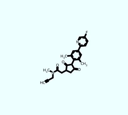 C#CCN(C)C(=O)CC1CC(=O)C(c2c(C)cc(-c3ccc(F)cn3)cc2C)C1=O